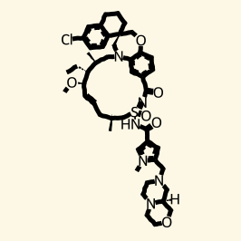 CC[C@H]1[C@@H](OC)/C=C/C[C@H](C)C[S@@](=O)(NC(=O)c2cc(CN3CCN4CCOC[C@@H]4C3)n(C)c2)=NC(=O)c2ccc3c(c2)N(C[C@@H]1C)C[C@@]1(CCCc2cc(Cl)ccc21)CO3